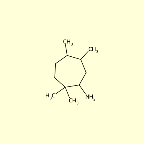 CC1CCC(C)(C)C(N)CC1C